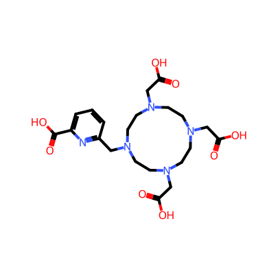 O=C(O)CN1CCN(CC(=O)O)CCN(Cc2cccc(C(=O)O)n2)CCN(CC(=O)O)CC1